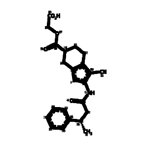 C[C@@H](CC(=O)Nc1sc2c(c1C#N)CCN(C(=O)OCC(=O)O)C2)c1ccccc1